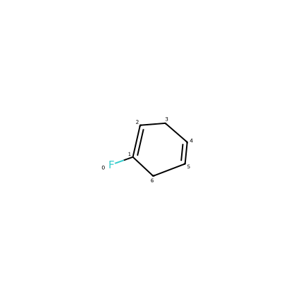 FC1=CCC=CC1